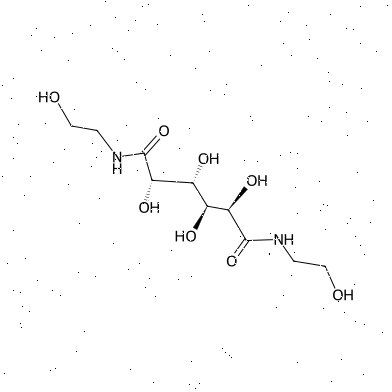 O=C(NCCO)[C@@H](O)[C@H](O)[C@H](O)[C@@H](O)C(=O)NCCO